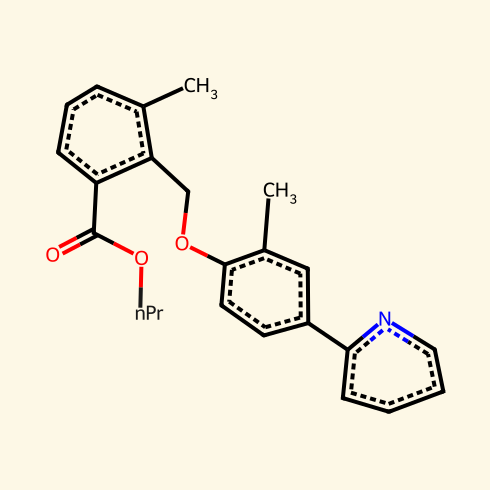 CCCOC(=O)c1cccc(C)c1COc1ccc(-c2ccccn2)cc1C